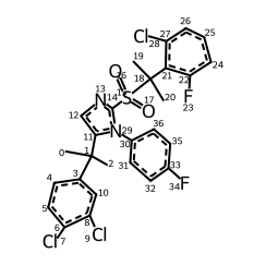 CC(C)(c1ccc(Cl)c(Cl)c1)c1cnc(S(=O)(=O)C(C)(C)c2c(F)cccc2Cl)n1-c1ccc(F)cc1